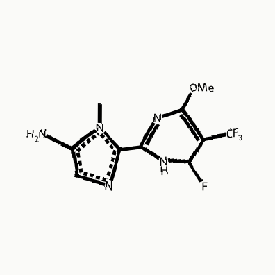 COC1=C(C(F)(F)F)C(F)NC(c2ncc(N)n2C)=N1